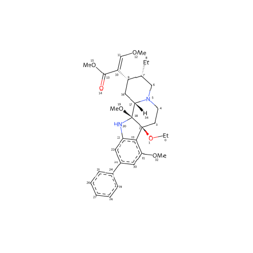 CCO[C@]12CCN3C[C@@H](CC)[C@@H](/C(=C\OC)C(=O)OC)C[C@H]3[C@@]1(OC)Nc1cc(-c3ccccc3)cc(OC)c12